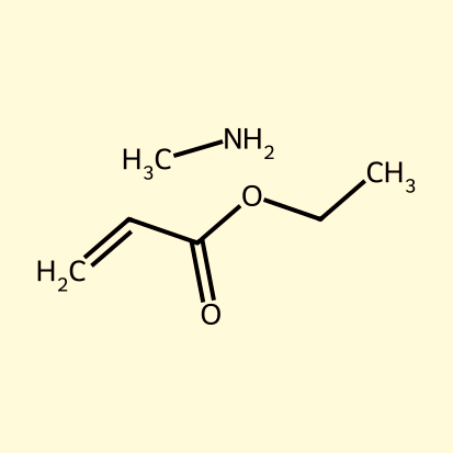 C=CC(=O)OCC.CN